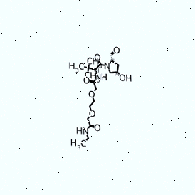 CCNC(=O)COCCOCC(=O)N[C@H](C(=O)N1C[C@H](O)C[C@H]1C=O)C(C)(C)C